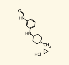 C1CC1.CN1CCC(Nc2cccc(NC=O)c2)CC1.Cl